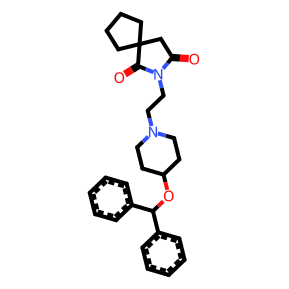 O=C1CC2(CCCC2)C(=O)N1CCN1CCC(OC(c2ccccc2)c2ccccc2)CC1